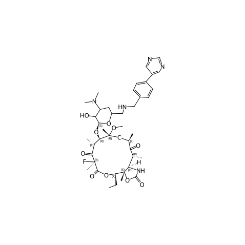 CC[C@H]1OC(=O)[C@@](C)(F)C(=O)[C@H](C)[C@@H](O[C@@H]2OC(CNCc3ccc(-c4cncnc4)cc3)CC(N(C)C)C2O)[C@](C)(OC)C[C@@H](C)C(=O)[C@H](C)[C@H]2NC(=O)O[C@@]21C